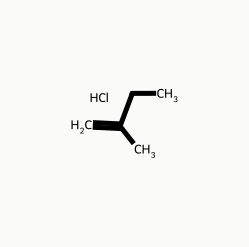 C=C(C)CC.Cl